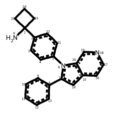 NC1(c2ccc(-n3c(-c4ccccc4)cc4ccncc43)cc2)CCC1